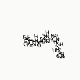 CC(NC(=O)c1cc(NCCNc2nncs2)ncn1)c1ncc(C(=O)Nc2cc(C(F)(F)F)c(Cl)cn2)s1